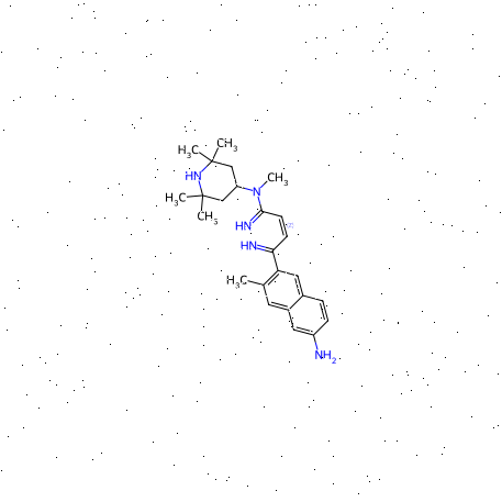 Cc1cc2cc(N)ccc2cc1C(=N)/C=C\C(=N)N(C)C1CC(C)(C)NC(C)(C)C1